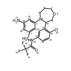 Cc1cc(N2CCCOCC2c2cc(NC(=O)C(F)(F)F)ccc2Cl)nc(N)n1